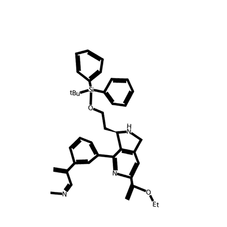 C=C(/C=N\C)c1cccc(-c2nc(C(=C)OCC)cc3c2[C@@H](CCO[Si](c2ccccc2)(c2ccccc2)C(C)(C)C)NC3)c1